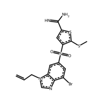 C=CCn1cnc2c(Br)cc(S(=O)(=O)c3cc(C(=N)N)sc3SC)cc21